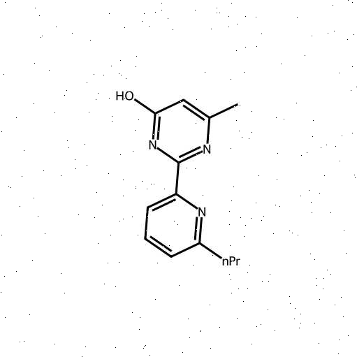 CCCc1cccc(-c2nc(C)cc(O)n2)n1